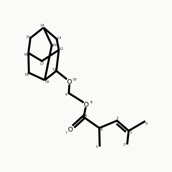 CC(C)=CC(C)C(=O)OCOC1C2CC3CC(C2)CC1C3